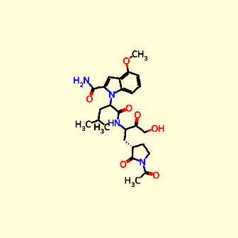 COc1cccc2c1cc(C(N)=O)n2C(CC(C)C)C(=O)NC(C[C@@H]1CCN(C(C)=O)C1=O)C(=O)CO